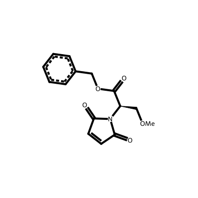 COC[C@H](C(=O)OCc1ccccc1)N1C(=O)C=CC1=O